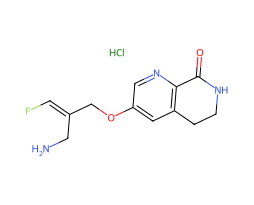 Cl.NC/C(=C\F)COc1cnc2c(c1)CCNC2=O